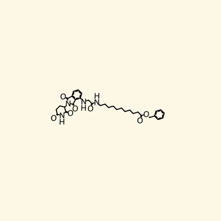 O=C(CNc1cccc2c1C(=O)N(C1CCC(=O)NC1=O)C2=O)NCCCCCCCCCCC(=O)OCc1ccccc1